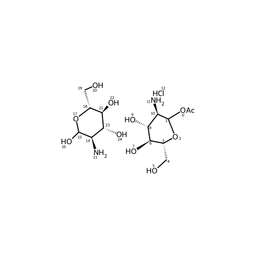 CC(=O)OC1O[C@H](CO)[C@@H](O)[C@H](O)[C@H]1N.Cl.N[C@H]1C(O)O[C@H](CO)[C@@H](O)[C@@H]1O